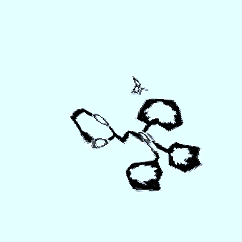 [Br-].c1ccc([P+](CCC2OCCCO2)(c2ccccc2)c2ccccc2)cc1